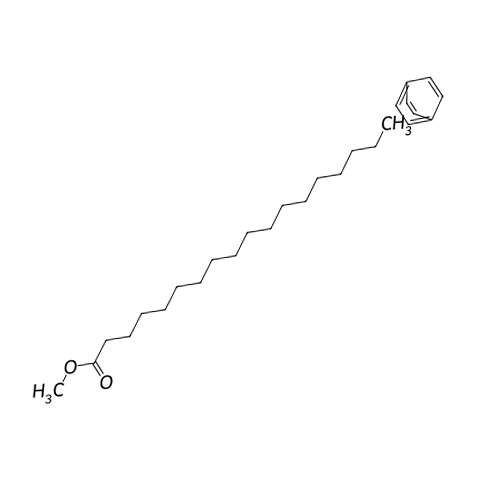 CCCCCCCCCCCCCCCCCC(=O)OC.c1cc2ccc1cc2